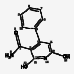 NC(=O)c1c(-c2ccccc2)cc(O)nc1O